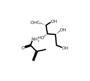 C=C(C)C(N)=O.O=C[C@H](O)[C@@H](O)[C@H](O)CO